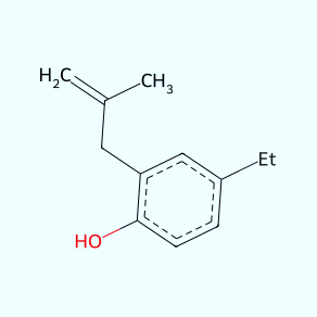 C=C(C)Cc1cc(CC)ccc1O